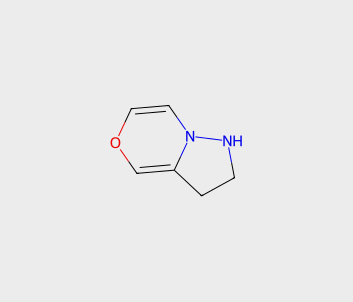 C1=CN2NCCC2=CO1